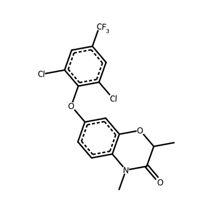 CC1Oc2cc(Oc3c(Cl)cc(C(F)(F)F)cc3Cl)ccc2N(C)C1=O